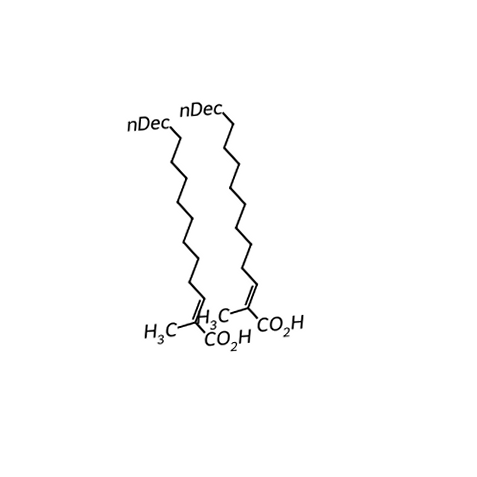 CCCCCCCCCCCCCCCCCCC=C(C)C(=O)O.CCCCCCCCCCCCCCCCCCC=C(C)C(=O)O